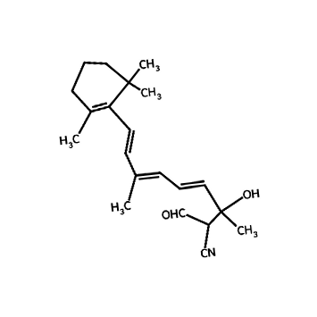 CC(C=CC1=C(C)CCCC1(C)C)=CC=CC(C)(O)C(C#N)C=O